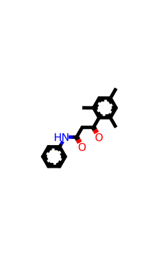 Cc1cc(C)c(C(=O)CC(=O)Nc2ccccc2)c(C)c1